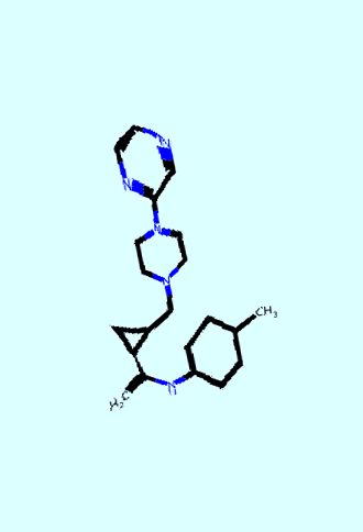 C=C(NC1CCC(C)CC1)[C@H]1CC1CN1CCN(c2cnccn2)CC1